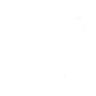 CC(C)CCCOC(C)(C)C(CC(C)(C)OCCCC(C)(C)OCC(O)CN1CC1C)C(C)(C)OCCCC(C)(C)OCC(O)CN1CC1C